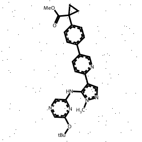 COC(=O)C1(c2ccc(-c3ccc(-c4cnn(C)c4Nc4cncc(OC(C)(C)C)n4)nc3)cc2)CC1